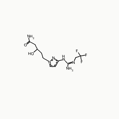 NC(=O)CC(O)CCn1ccc(N/C(N)=N\CC(F)(F)F)n1